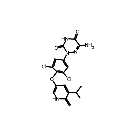 C=C1NC=C(Oc2c(Cl)cc(-n3nc(N)c(=O)[nH]c3=O)cc2Cl)C=C1C(C)C